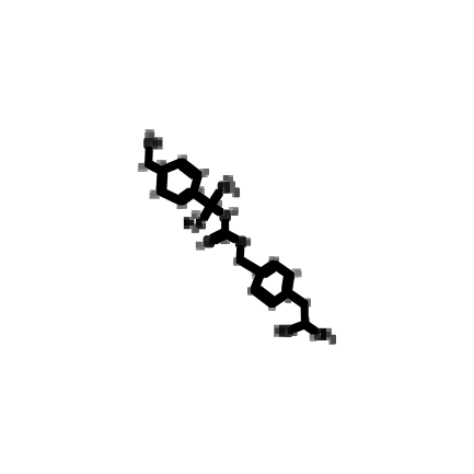 CC(O)Cc1ccc(COC(=O)OC(C)(C)c2ccc(CO)cc2)cc1